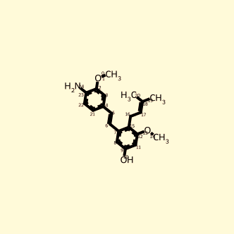 COc1cc(/C=C/c2cc(O)cc(OC)c2CC=C(C)C)ccc1N